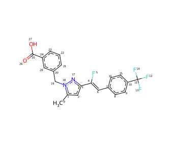 Cc1cc(C(F)=Cc2ccc(C(F)(F)F)cc2)nn1Cc1cccc(C(=O)O)c1